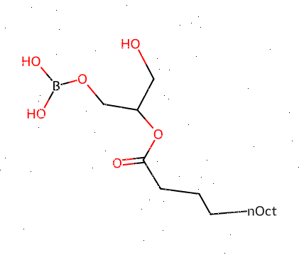 CCCCCCCCCCCC(=O)OC(CO)COB(O)O